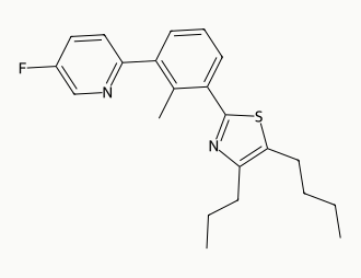 CCCCc1sc(-c2cccc(-c3ccc(F)cn3)c2C)nc1CCC